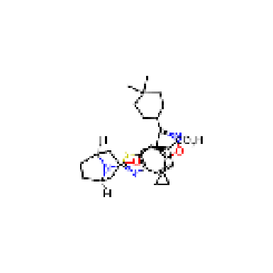 CC1(C)CCC(c2noc(C3CC3)c2CO[C@H]2C[C@H]3CC[C@@H](C2)N3c2nc3ccc(C(=O)O)cc3s2)CC1